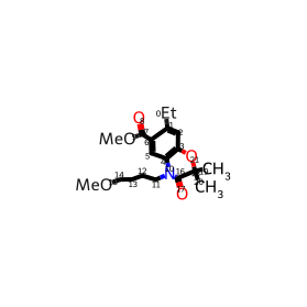 CCc1cc2c(cc1C(=O)OC)N(CCCCOC)C(=O)C(C)(C)O2